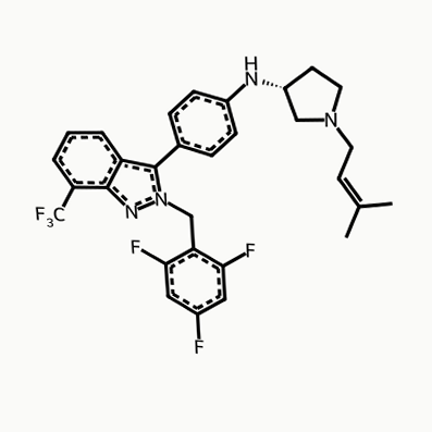 CC(C)=CCN1CC[C@@H](Nc2ccc(-c3c4cccc(C(F)(F)F)c4nn3Cc3c(F)cc(F)cc3F)cc2)C1